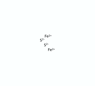 [Fe+2].[Fe+2].[S-2].[S-2]